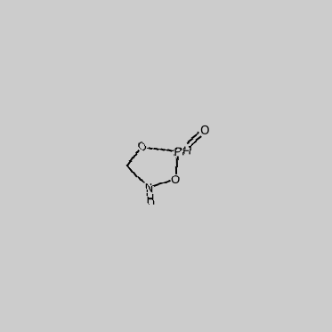 O=[PH]1OCNO1